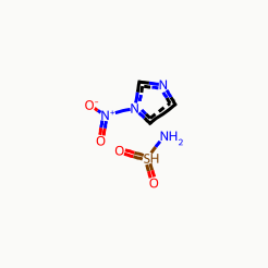 N[SH](=O)=O.O=[N+]([O-])n1ccnc1